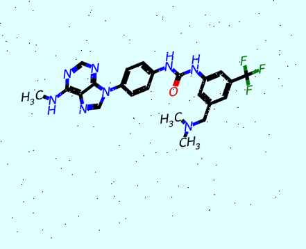 CNc1ncnc2c1ncn2-c1ccc(NC(=O)Nc2cc(CN(C)C)cc(C(F)(F)F)c2)cc1